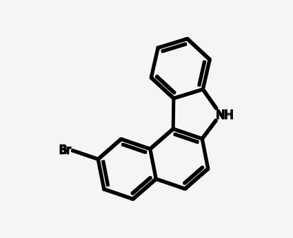 Brc1ccc2ccc3[nH]c4ccccc4c3c2c1